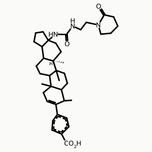 CC1C(c2ccc(C(=O)O)cc2)=CCC2(C)C1CCC1(C)C2CCC2C3CCCC3(NC(=O)NCCN3CCCCC3=O)CC[C@]21C